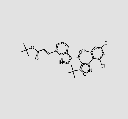 CC(C)(C)OC(=O)/C=C/c1cccc2c(C(=O)c3c(-c4c(Cl)cc(Cl)cc4Cl)noc3C(C)(C)C)c[nH]c12